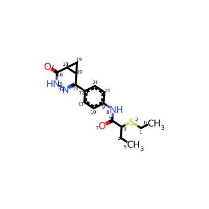 CCSC(CC)C(=O)Nc1ccc(C2=NNC(=O)C3CC23)cc1